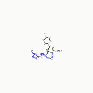 COc1cc(-c2ccc(F)cc2)cc2c(NCc3nnn(C)n3)ncnc12